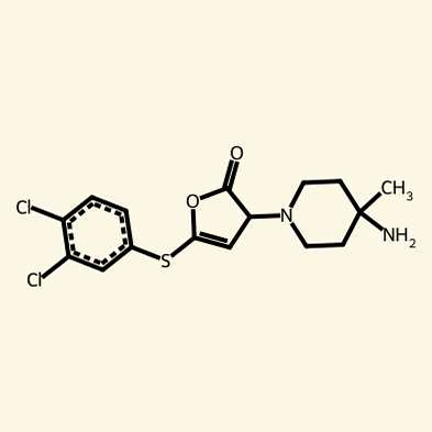 CC1(N)CCN(C2C=C(Sc3ccc(Cl)c(Cl)c3)OC2=O)CC1